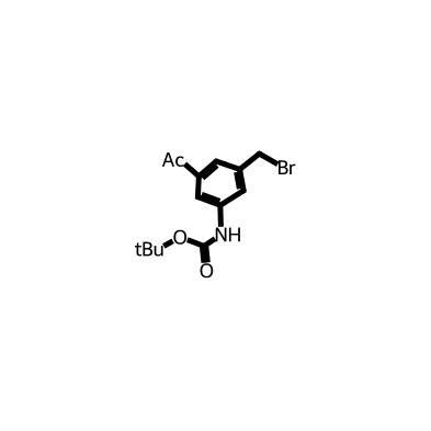 CC(=O)c1cc(CBr)cc(NC(=O)OC(C)(C)C)c1